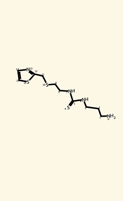 NCCCNC(=S)NCCSCc1nccs1